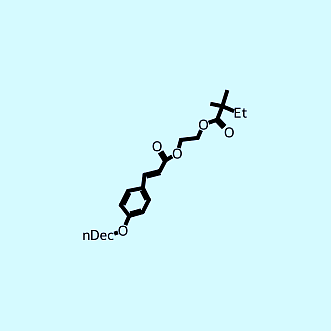 CCCCCCCCCCOc1ccc(/C=C/C(=O)OCCOC(=O)C(C)(C)CC)cc1